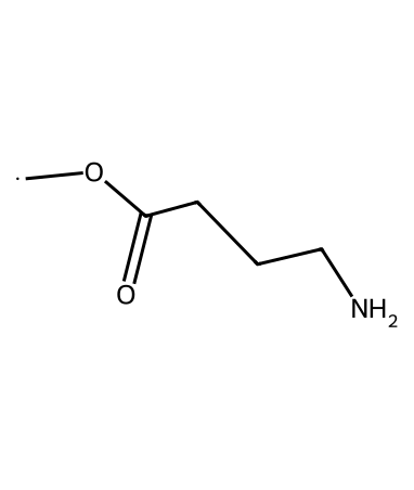 [CH2]OC(=O)CCCN